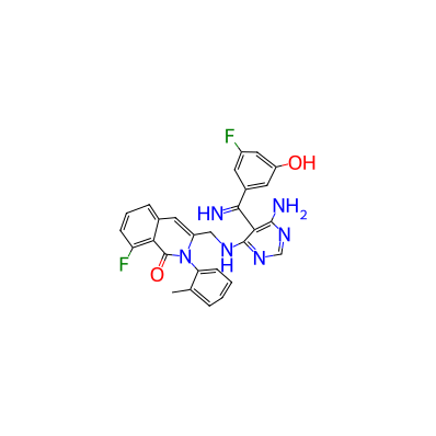 Cc1ccccc1-n1c(CNc2ncnc(N)c2C(=N)c2cc(O)cc(F)c2)cc2cccc(F)c2c1=O